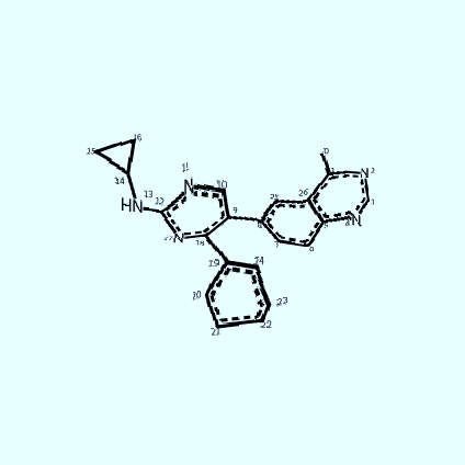 Cc1ncnc2ccc(-c3cnc(NC4CC4)nc3-c3ccccc3)cc12